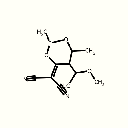 COC(C)C1C(=C(C#N)C#N)OB(C)OC1C